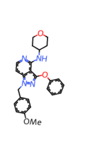 COc1ccc(Cn2nc(Oc3ccccc3)c3c(NC4CCOCC4)nccc32)cc1